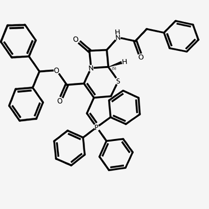 O=C(Cc1ccccc1)NC1C(=O)N2C(C(=O)OC(c3ccccc3)c3ccccc3)=C(C=P(c3ccccc3)(c3ccccc3)c3ccccc3)CS[C@@H]12